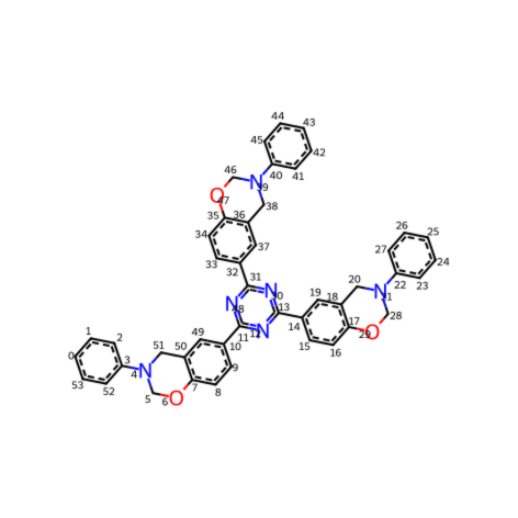 c1ccc(N2COc3ccc(-c4nc(-c5ccc6c(c5)CN(c5ccccc5)CO6)nc(-c5ccc6c(c5)CN(c5ccccc5)CO6)n4)cc3C2)cc1